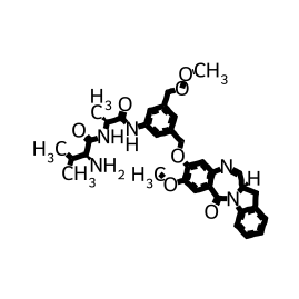 COOCc1cc(COc2cc3c(cc2OC)C(=O)N2c4ccccc4C[C@H]2C=N3)cc(NC(=O)[C@H](C)NC(=O)[C@@H](N)C(C)C)c1